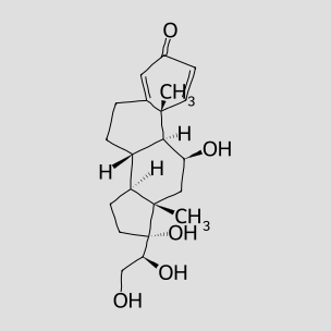 C[C@]12C=CC(=O)C=C1CC[C@@H]1[C@@H]2[C@@H](O)C[C@@]2(C)[C@H]1CC[C@]2(O)[C@@H](O)CO